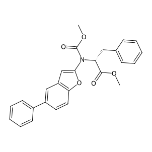 COC(=O)[C@@H](Cc1ccccc1)N(C(=O)OC)c1cc2cc(-c3ccccc3)ccc2o1